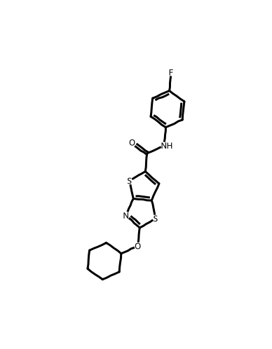 O=C(Nc1ccc(F)cc1)c1cc2sc(OC3CCCCC3)nc2s1